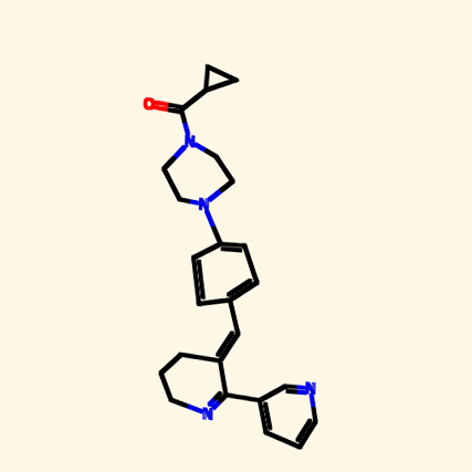 O=C(C1CC1)N1CCN(c2ccc(C=C3CCCN=C3c3cccnc3)cc2)CC1